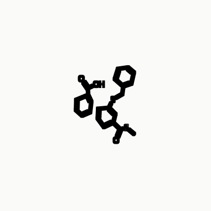 CSC(=O)c1cccc(SCc2ccccc2)c1.O=C(O)c1ccccc1